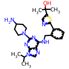 CC(C)n1cnc2c(NCc3ccccc3-c3ncc(C(C)(C)O)s3)nc(N3CCC(N)CC3)nc21